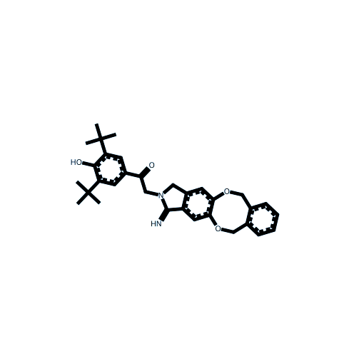 CC(C)(C)c1cc(C(=O)CN2Cc3cc4c(cc3C2=N)OCc2ccccc2CO4)cc(C(C)(C)C)c1O